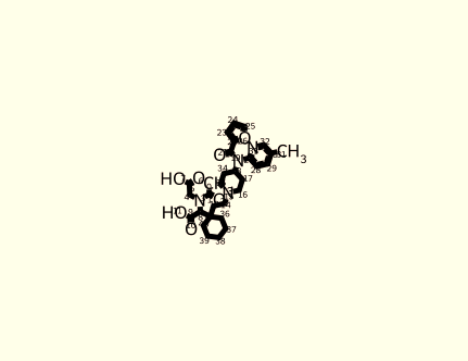 CC(=O)N(CC(=O)O)C(C(=O)O)C1(CCN2CCC(N(C(=O)c3ccco3)c3ccc(C)cn3)CC2)CCCCC1